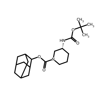 CC(C)(C)OC(=O)N[C@@H]1CCCN(C(=O)OC2C3CC4CC(C3)CC2C4)C1